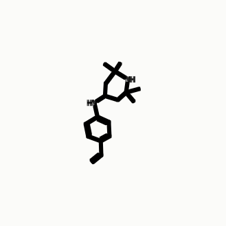 C=Cc1ccc(NC2CC(C)(C)NC(C)(C)C2)cc1